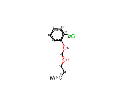 COCCOCOc1[c]cccc1Cl